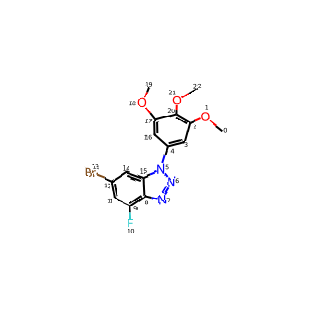 COc1cc(-n2nnc3c(F)cc(Br)cc32)cc(OC)c1OC